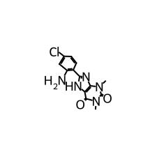 Cn1c(=O)c2[nH]c(-c3ccc(Cl)cc3N)nc2n(C)c1=O